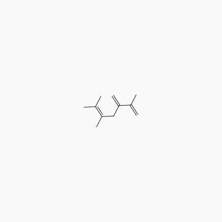 C=C(C)C(=C)CC(C)=C(C)C